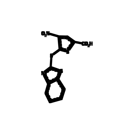 O=C(O)c1cc([N+](=O)[O-])c(Sc2nc3ccccc3s2)s1